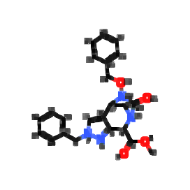 COC(=O)C1c2nn(Cc3ccccc3)cc2C2CN1C(=O)N2OCc1ccccc1